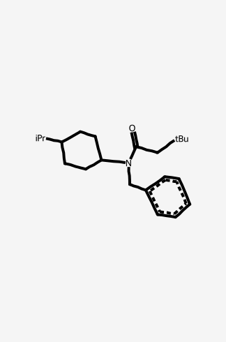 CC(C)C1CCC(N(Cc2ccccc2)C(=O)CC(C)(C)C)CC1